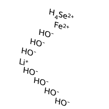 [Fe+2].[Fe+2].[Li+].[OH-].[OH-].[OH-].[OH-].[OH-].[OH-].[OH-].[SeH4+2]